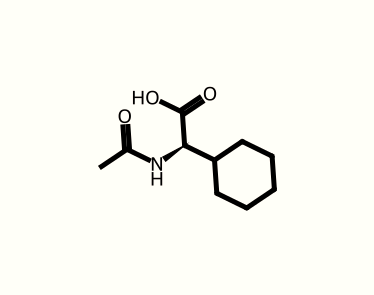 CC(=O)N[C@@H](C(=O)O)C1CCCCC1